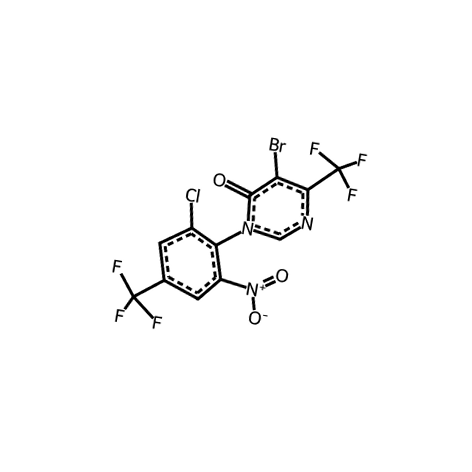 O=c1c(Br)c(C(F)(F)F)ncn1-c1c(Cl)cc(C(F)(F)F)cc1[N+](=O)[O-]